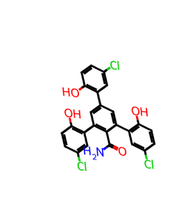 NC(=O)c1c(-c2cc(Cl)ccc2O)cc(-c2cc(Cl)ccc2O)cc1-c1cc(Cl)ccc1O